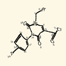 CC(C)Cn1cc(C(=O)Cl)c(=O)n(-c2ccc(F)cc2)c1=O